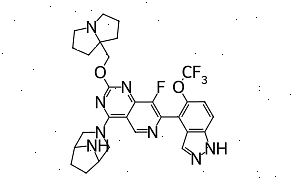 Fc1c(-c2c(OC(F)(F)F)ccc3[nH]ncc23)ncc2c(N3CC4CCC(C3)N4)nc(OCC34CCCN3CCC4)nc12